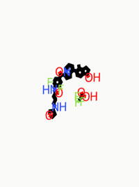 Cc1c(-c2cccn3c(C(=O)c4cc(F)c(NC(=O)/C=C/CN[C@H]5CCOC5)c(F)c4)ccc23)ccc2c1CCC2O.O=C(O)C(F)(F)F